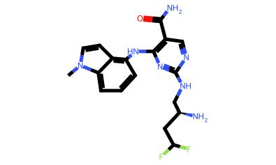 Cn1ccc2c(Nc3nc(NC[C@@H](N)CC(F)F)ncc3C(N)=O)cccc21